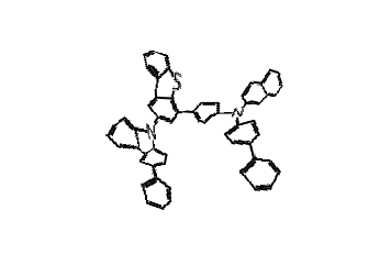 c1ccc(-c2ccc(N(c3ccc(-c4cc(-n5c6ccccc6c6cc(-c7ccccc7)ccc65)cc5c4sc4ccccc45)cc3)c3ccc4ccccc4c3)cc2)cc1